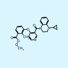 COOC(=O)c1cccc(Oc2ccncc2C(=O)N2CCN(C3CC3)c3ccccc32)c1C